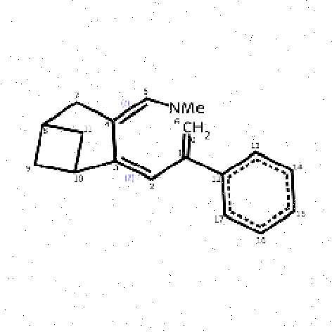 C=C(/C=C1\C(=C/NC)CC2CC1C2)c1ccccc1